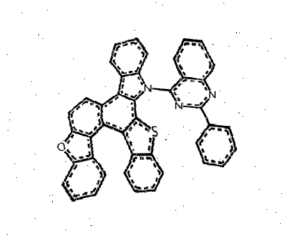 c1ccc(-c2nc(-n3c4ccccc4c4c5ccc6oc7ccccc7c6c5c5c6ccccc6sc5c43)c3ccccc3n2)cc1